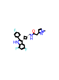 Cn1ccc(CC(=O)NC[C@H]2C[C@@H](c3c(-c4ccc(F)cc4)[nH]c4c(F)cc(F)cc43)C2)n1